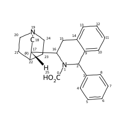 O=C(O)N1C(c2ccccc2)c2ccccc2CC1[C@H]1CN2CCC1CC2